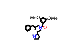 COc1cc(OC)cc(C(=O)N(CCC2CCCN2C)C/C(C)=C/c2ccccc2)c1